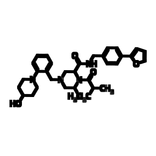 CC(C)C(=O)N1C(C)CN(Cc2ccccc2N2CCC(O)CC2)CC1C(=O)NCc1ccc(-c2ccco2)cc1